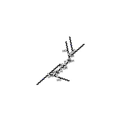 CCCCCC/C=C/CCCC(=O)OC(CCCCCCCCCCC)CC(=O)NC(COCC[C@H](O)CCCCCCC)COP(=O)(O)OCCNC(=O)[C@@H](O)[C@H](O)C(=O)NCCOP(=O)(O)OCC(COCC[C@H](O)CCCCCCC)NC(=O)CC(CCCCCCCCCCC)OC(=O)CCC/C=C/CCCCCC